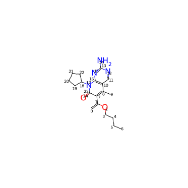 C=C(OCCCC)c1c(C)c2cnc(N)nc2n(C2CCCC2)c1=O